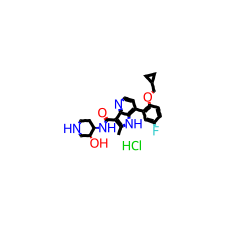 Cc1[nH]c2c(-c3cc(F)ccc3OCC3CC3)ccnc2c1C(=O)N[C@@H]1CCNC[C@@H]1O.Cl